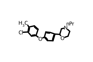 CCCN1CCOC(c2ccc(Oc3ccc(C)c(Cl)c3)cc2)C1